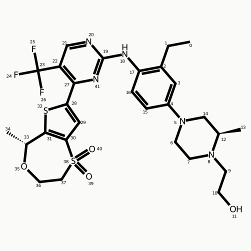 CCc1cc(N2CCN(CCO)[C@H](C)C2)ccc1Nc1ncc(C(F)(F)F)c(-c2cc3c(s2)[C@@H](C)OCCS3(=O)=O)n1